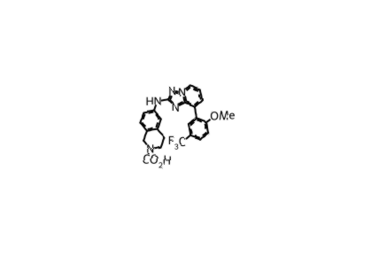 COc1ccc(C(F)(F)F)cc1-c1cccn2nc(Nc3ccc4c(c3)CCN(C(=O)O)C4)nc12